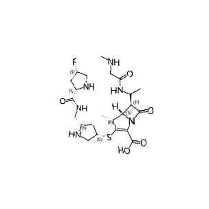 CNCC(=O)NC(C)[C@H]1C(=O)N2C(C(=O)O)=C(S[C@@H]3CN[C@H](CNC(=O)[C@@H]4C[C@H](F)CN4)C3)[C@H](C)[C@H]12